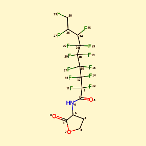 O=C1OCCC1NC(=O)C(F)(F)C(F)(F)C(F)(F)C(F)(F)C(F)(F)C(F)C(F)CF